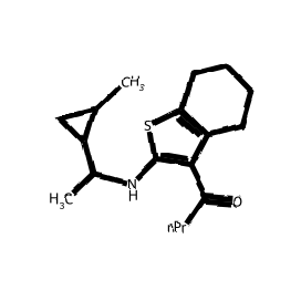 CCCC(=O)c1c(NC(C)C2CC2C)sc2c1CCCC2